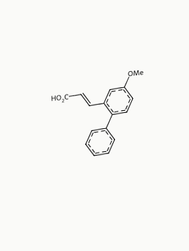 COc1ccc(-c2ccccc2)c(/C=C/C(=O)O)c1